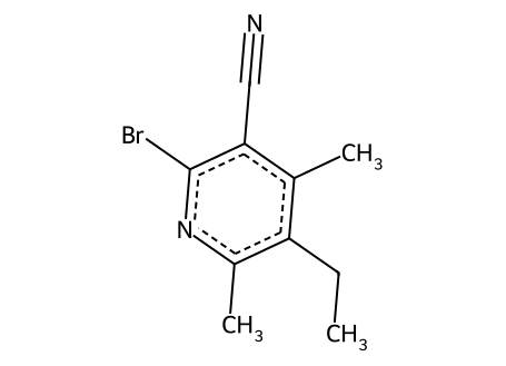 CCc1c(C)nc(Br)c(C#N)c1C